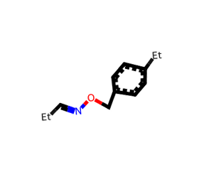 CCC=NOCc1ccc(CC)cc1